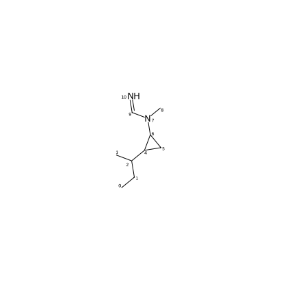 CCC(C)C1CC1N(C)C=N